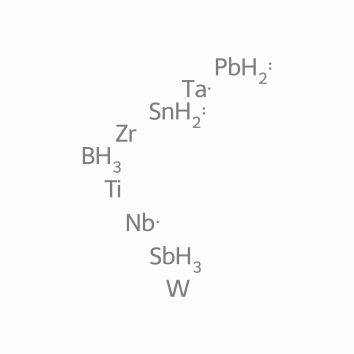 B.[Nb].[PbH2].[SbH3].[SnH2].[Ta].[Ti].[W].[Zr]